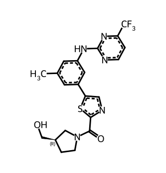 Cc1cc(Nc2nccc(C(F)(F)F)n2)cc(-c2cnc(C(=O)N3CC[C@@H](CO)C3)s2)c1